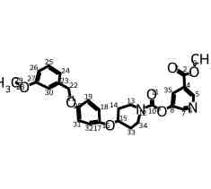 COC(=O)c1cncc(OC(=O)N2CCC(Oc3ccc(OCc4cccc(OC)c4)cc3)CC2)c1